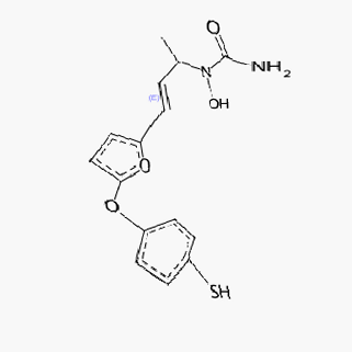 CC(/C=C/c1ccc(Oc2ccc(S)cc2)o1)N(O)C(N)=O